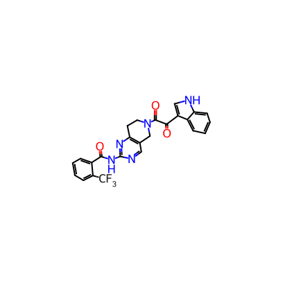 O=C(Nc1ncc2c(n1)CCN(C(=O)C(=O)c1c[nH]c3ccccc13)C2)c1ccccc1C(F)(F)F